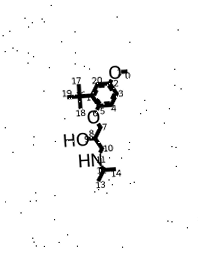 COc1ccc(OCC(O)CNC(C)C)c(C(C)(C)C)c1